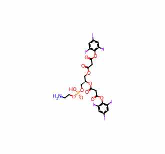 NCCOP(=O)(O)OC[C@@H](COC(=O)CC(=O)Oc1c(I)cc(I)cc1I)OC(=O)CC(=O)Oc1c(I)cc(I)cc1I